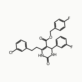 O=C1NC(CCc2cccc(Cl)c2)=C(C(=O)OCc2ccc(F)cc2)C(c2cccc(F)c2)N1